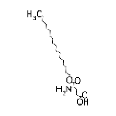 CCCCCCCCCCCCCCCCCCOC(=O)C(N)CCC(=O)O